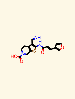 N=Cc1c(NC(=O)/C=C/c2ccoc2)sc2c1CCN(C(=O)O)C2